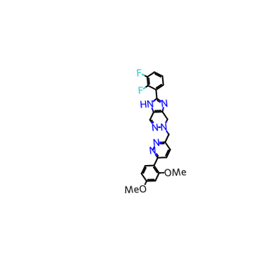 COc1ccc(-c2ccc(CN3Cc4nc(-c5cccc(F)c5F)[nH]c4C=N3)nn2)c(OC)c1